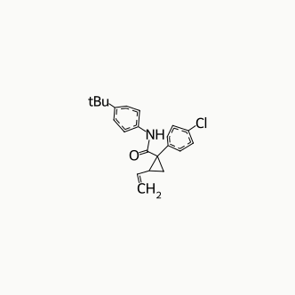 C=CC1CC1(C(=O)Nc1ccc(C(C)(C)C)cc1)c1ccc(Cl)cc1